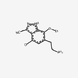 CCOc1c(CCN)cc(Cl)c2c(C#N)n[nH]c12